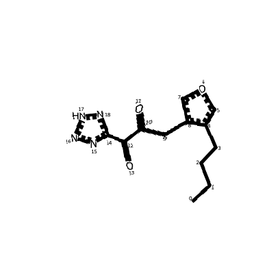 CCCCc1cocc1CC(=O)C(=O)c1nn[nH]n1